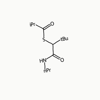 CCCNC(=O)C(SC(=O)C(C)C)C(C)(C)C